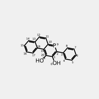 Oc1c(-c2ccccc2)pc2ccc3ccccc3c2c1O